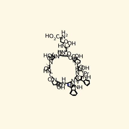 CC(C)[C@H](O)[C@@H]1NC(=O)[C@H]([C@H](C)c2c[nH]c3ccccc23)NC(=O)/C(=C\c2c[nH]c3ccccc23)NC(=O)[C@@H]2[C@@H](O)CCN2C(=O)CNC(=O)[C@H](C)NC(=O)[C@H]([C@H](C)O)NC(=O)[C@@H](NC(=O)[C@H](CO)NC(=O)C[C@H](N)C(=O)O)[C@@H](C)OC(=O)[C@@H]2[C@H](O)CCN2C1=O